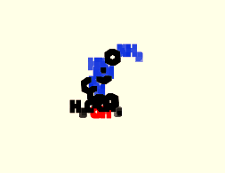 CC(C)(O)c1cc2c(nc1-c1ccccc1)N(c1ccnc(N[C@H]3CC[C@H](N)CC3)n1)CCC2